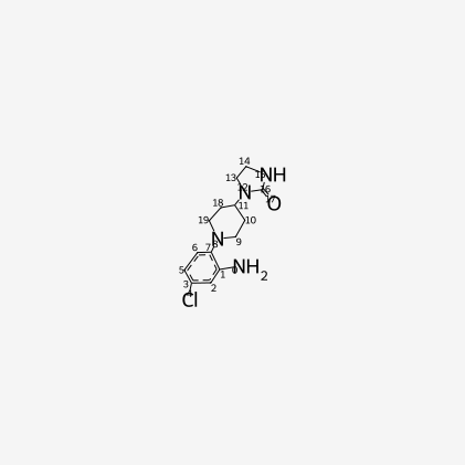 Nc1cc(Cl)ccc1N1CCC(N2CCNC2=O)CC1